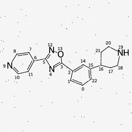 c1cc(-c2nc(-c3ccncc3)no2)cc(C2CCNCC2)c1